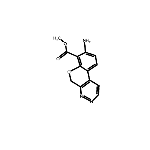 COC(=O)c1c(N)ccc2c1OCc1nnccc1-2